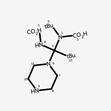 CC(C)(C)N(C(=O)O)C(NC(=O)O)(N1CCNCC1)C(C)(C)C